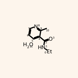 CCNC(=O)c1cccnc1C.O